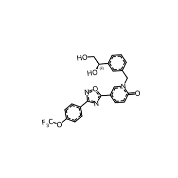 O=c1ccc(-c2nc(-c3ccc(OC(F)(F)F)cc3)no2)cn1Cc1cccc([C@@H](O)CO)c1